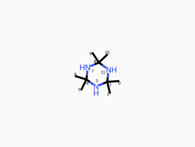 CC1(C)NC(C)(C)NC(C)(C)N1